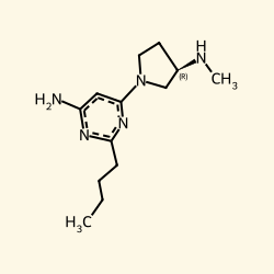 CCCCc1nc(N)cc(N2CC[C@@H](NC)C2)n1